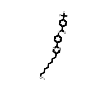 CCCCCCCCCc1cnc(-c2ccc(OC(=O)c3ccc(C(F)(F)F)cc3)cc2)nc1